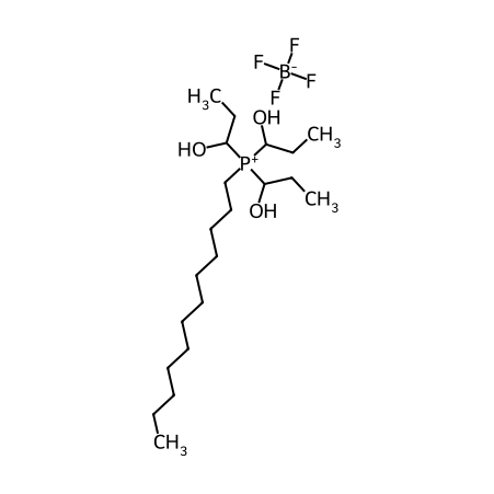 CCCCCCCCCCCC[P+](C(O)CC)(C(O)CC)C(O)CC.F[B-](F)(F)F